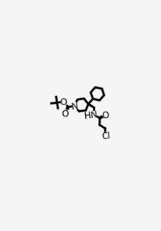 CC(C)(C)OC(=O)N1CCC(CNC(=O)CCCl)(C2CCCCC2)CC1